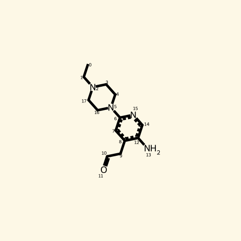 CCN1CCN(c2cc(CC=O)c(N)cn2)CC1